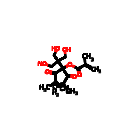 C=C(C)C(=O)OC(C(=O)C(=C)C)(C(=O)C(=C)C)C(CO)(CO)CO